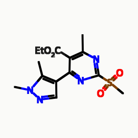 CCOC(=O)c1c(C)nc(S(C)(=O)=O)nc1-c1cnn(C)c1C